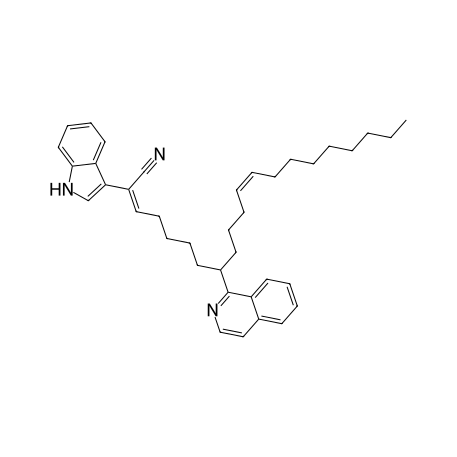 CCCCCCCC/C=C\CCCC(CCCC/C=C(\C#N)c1c[nH]c2ccccc12)c1nccc2ccccc12